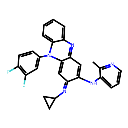 Cc1ncccc1Nc1cc2nc3ccccc3n(-c3ccc(F)c(F)c3)c-2c/c1=N\C1CC1